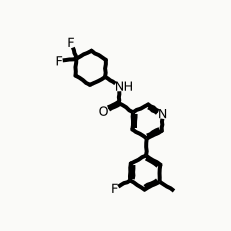 Cc1cc(F)cc(-c2cncc(C(=O)NC3CCC(F)(F)CC3)c2)c1